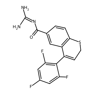 NC(N)=NC(=O)c1ccc2c(c1)C(c1c(F)cc(F)cc1F)=CCS2